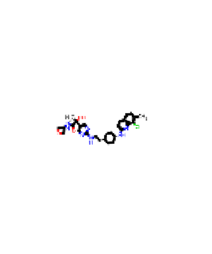 Cc1ccc2ccc(N[C@H]3CC[C@H](CCNc4ncc(C(C)(O)C(=O)NC5COC5)cn4)CC3)nc2c1Cl